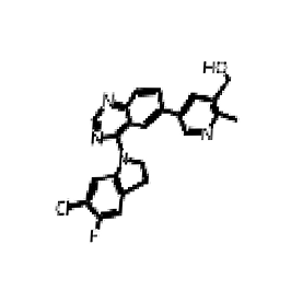 Cc1ncc(-c2ccc3ncnc(N4CCc5cc(F)c(Cl)cc54)c3c2)cc1CO